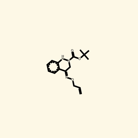 C=CCON=C1CN(C(=O)OC(C)(C)C)Nc2ccccc21